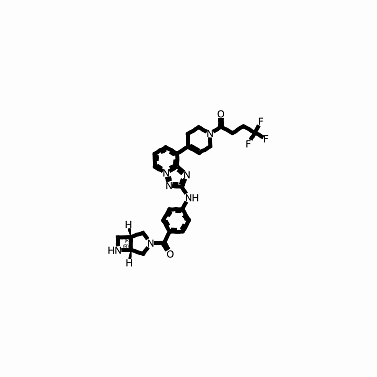 O=C(CCC(F)(F)F)N1CC=C(c2cccn3nc(Nc4ccc(C(=O)N5C[C@H]6CN[C@H]6C5)cc4)nc23)CC1